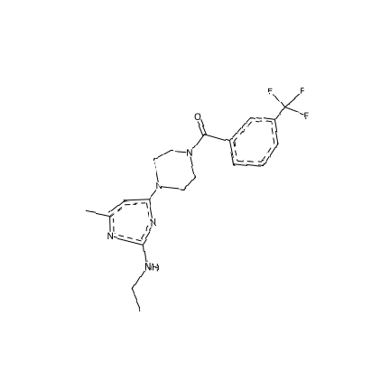 CCNc1nc(C)cc(N2CCN(C(=O)c3cccc(C(F)(F)F)c3)CC2)n1